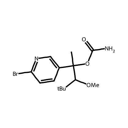 COC(C(C)(C)C)C(C)(OC(N)=O)c1ccc(Br)nc1